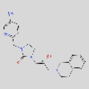 Nc1ccc(CN2CCN(C[C@H](O)CN3CCc4ccccc4C3)C2=O)nc1